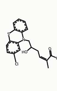 CC(=CCC(O)CN1c2ccccc2Sc2ccc(Cl)cc21)C(=O)O